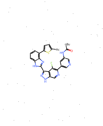 CCCCC(=O)Nc1cncc(-c2ncc3[nH]nc(-c4nc5c(-c6ccc(C(C)=O)s6)cccc5[nH]4)c3c2F)c1